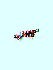 CC(C)(C)OC(=O)NC(CCS(=O)(=O)CC[C@@H]1OCC[C@@]2(S(=O)(=O)c3ccc(Cl)cc3)c3c(F)ccc(F)c3OC[C@@H]12)C(F)(F)F